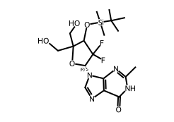 Cc1nc2c(ncn2[C@@H]2OC(CO)(CO)C(O[Si](C)(C)C(C)(C)C)C2(F)F)c(=O)[nH]1